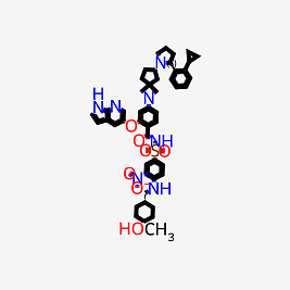 C[C@]1(O)CC[C@H](CNc2ccc(S(=O)(=O)NC(=O)c3ccc(N4CC5(CCC(N6CCC[C@H]6c6ccccc6C6CC6)C5)C4)cc3Oc3cnc4[nH]ccc4c3)cc2[N+](=O)[O-])CC1